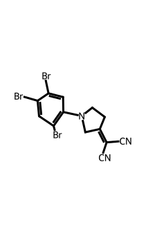 N#CC(C#N)=C1CCN(c2cc(Br)c(Br)cc2Br)C1